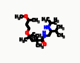 COC(C)CCOC(C)(C)CC(C)(C)C(=O)NCC(NC(C)C)C(C)C